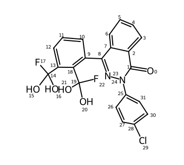 O=c1c2ccccc2c(-c2cccc(C(O)(O)F)c2C(O)(O)F)nn1-c1ccc(Cl)cc1